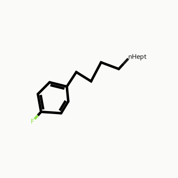 CCCCCCCCCCCc1ccc(F)cc1